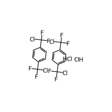 Cl.Cl.FC(F)(Cl)c1ccc(C(F)(F)Cl)cc1.FC(F)(Cl)c1ccc(C(F)(F)Cl)cc1